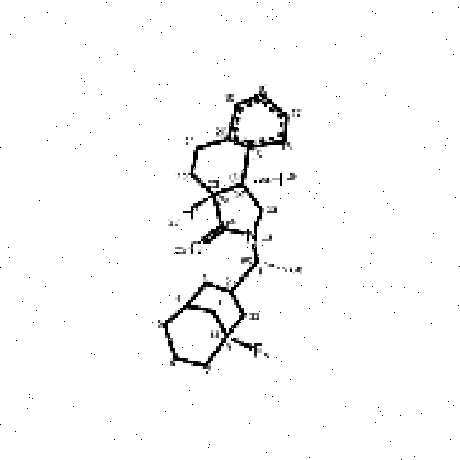 C[C@H](C1CC2CCC[C@](F)(C2)C1)N1C[C@@H]2c3ccccc3CC[C@H]2C1=O